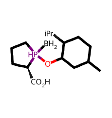 B[PH]1(OC2CC(C)CCC2C(C)C)CCC[C@@H]1C(=O)O